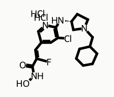 Cl.Cl.O=C(NO)/C(F)=C/c1cnc(N[C@@H]2CCN(CC3CCCCC3)C2)c(Cl)c1